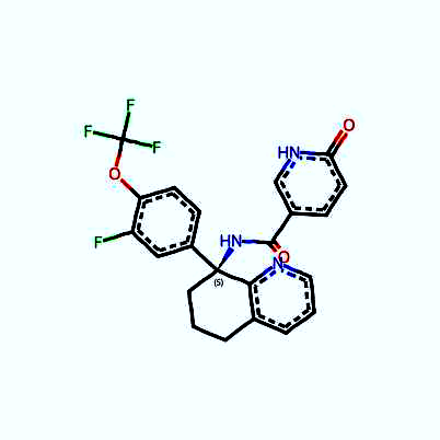 O=C(N[C@]1(c2ccc(OC(F)(F)F)c(F)c2)CCCc2cccnc21)c1ccc(=O)[nH]c1